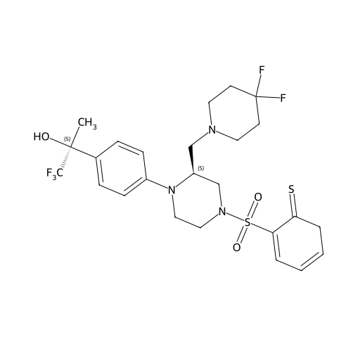 C[C@](O)(c1ccc(N2CCN(S(=O)(=O)C3=CC=CCC3=S)C[C@@H]2CN2CCC(F)(F)CC2)cc1)C(F)(F)F